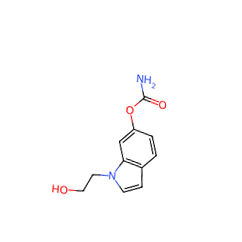 NC(=O)Oc1ccc2ccn(CCO)c2c1